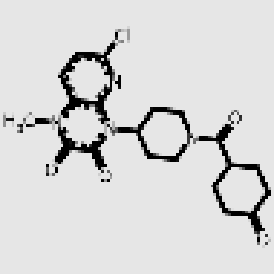 Cn1c(=O)c(=O)n(C2CCN(C(=O)C3CCC(=O)CC3)CC2)c2nc(Cl)ccc21